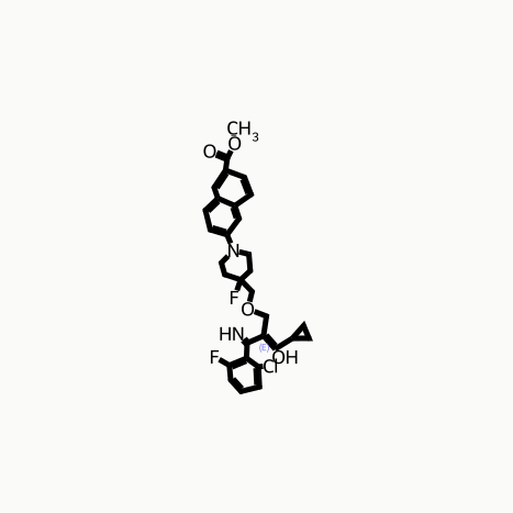 COC(=O)c1ccc2cc(N3CCC(F)(COC/C(C(=N)c4c(F)cccc4Cl)=C(/O)C4CC4)CC3)ccc2c1